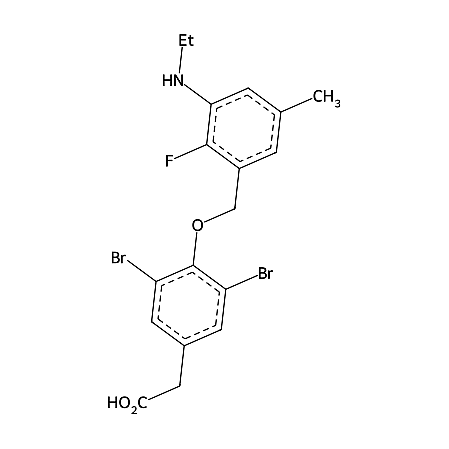 CCNc1cc(C)cc(COc2c(Br)cc(CC(=O)O)cc2Br)c1F